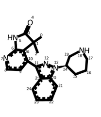 CC1(C)C(=O)Nc2nccc(-c3nn([C@@H]4CCCNC4)c4ccccc34)c21